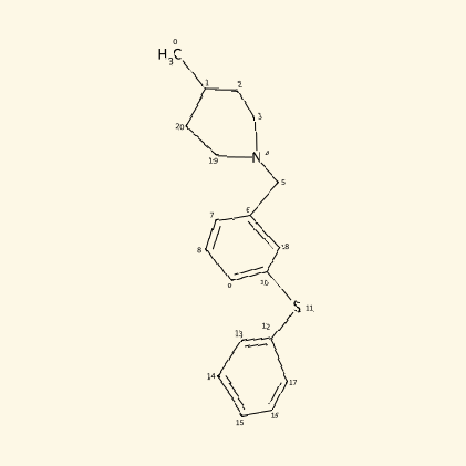 CC1CCN(Cc2cccc(Sc3ccccc3)c2)CC1